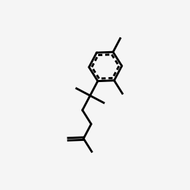 C=C(C)CCC(C)(C)c1ccc(C)cc1C